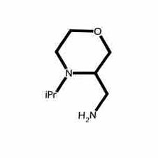 CC(C)N1CCOCC1CN